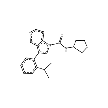 CC(C)c1ccccc1-c1cn(C(=O)NC2CCCC2)c2ccccc12